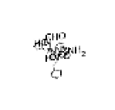 NC(=O)[C@@H]1CCC[N+]1(C(=O)NCCc1ccccc1)C(=O)[C@H](CC1CCCC1)CN(O)C=O